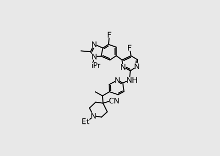 CCN1CCC(C#N)(C(C)c2ccc(Nc3ncc(F)c(-c4cc(F)c5nc(C)n(C(C)C)c5c4)n3)nc2)CC1